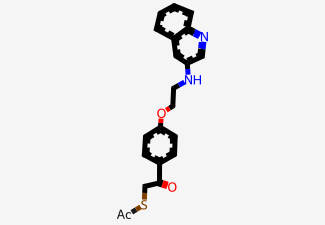 CC(=O)SCC(=O)c1ccc(OCCNc2cnc3ccccc3c2)cc1